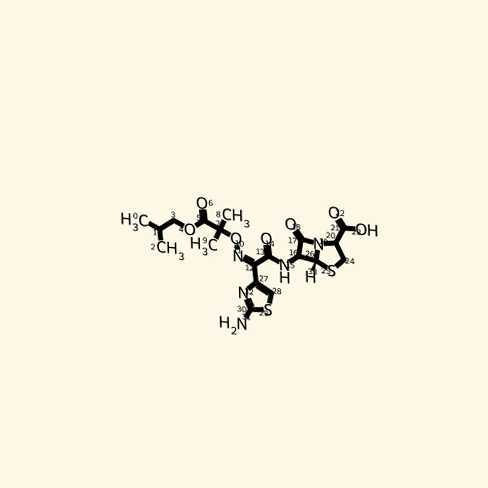 CC(C)COC(=O)C(C)(C)O/N=C(\C(=O)NC1C(=O)N2C(C(=O)O)CS[C@H]12)c1csc(N)n1